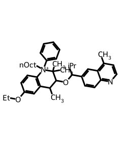 CCCCCCCC[N+]1(c2ccccc2)c2ccc(OCC)cc2C(C)C(OC(c2ccc3nccc(C)c3c2)C(C)C)C1(C)C